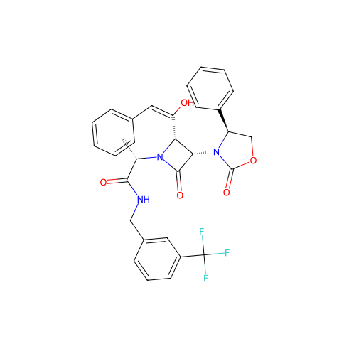 C[C@@H](C(=O)NCc1cccc(C(F)(F)F)c1)N1C(=O)[C@@H](N2C(=O)OC[C@@H]2c2ccccc2)[C@H]1/C(O)=C\c1ccccc1